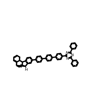 C1=CCC2C(=C1)C1C3=CC=CC34C2c2ccc(-c3ccc(-c5ccc(-c6ccc(-c7nc(-c8ccccc8)nc(-c8ccccc8)n7)cc6)cc5)cc3)cc2[C@H]14